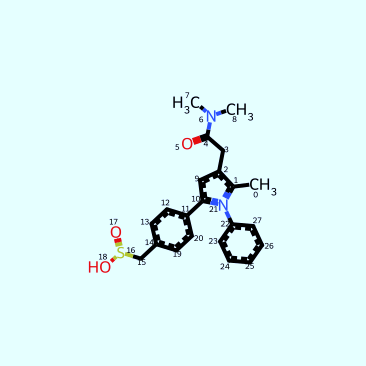 Cc1c(CC(=O)N(C)C)cc(-c2ccc(CS(=O)O)cc2)n1-c1ccccc1